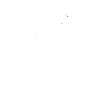 CC1(C)c2cc(O)ccc2-c2ccc(-c3cc(-c4ccc5c(c4)C(C)(C)c4cc(C#N)ccc4-5)cc(-c4nc(-c5ccccc5)nc(-c5ccccc5)n4)c3)cc21